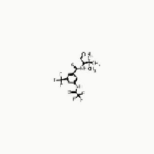 CC(C)(C)C(C=O)NC(=O)c1cc(NC(=O)C(F)(F)F)cc(C(F)(F)F)c1